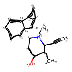 C#CC1C(C)C(O)CCN1C.c1ccc2c3cc-3cc2c1